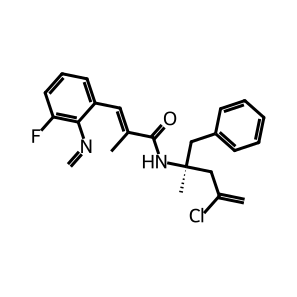 C=Nc1c(F)cccc1/C=C(\C)C(=O)N[C@](C)(CC(=C)Cl)Cc1ccccc1